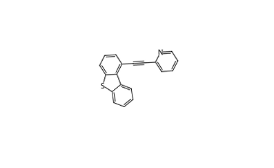 C(#Cc1cccc2sc3ccccc3c12)c1ccccn1